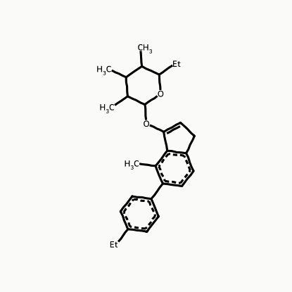 CCc1ccc(-c2ccc3c(c2C)C(OC2OC(CC)C(C)C(C)C2C)=CC3)cc1